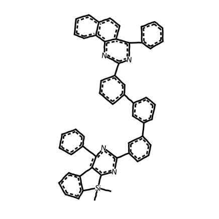 C[Si]1(C)c2ccccc2-c2c(-c3ccccc3)nc(-c3cccc(-c4cccc(-c5cccc(-c6nc(-c7ccccc7)c7ccc8ccccc8c7n6)c5)c4)c3)nc21